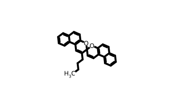 CCCCC1=Cc2c(ccc3ccccc23)OC12C=Cc1c(ccc3ccccc13)O2